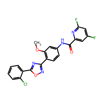 COc1cc(NC(=O)c2cc(F)cc(F)n2)ccc1-c1noc(-c2ccccc2Cl)n1